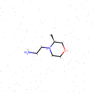 C[C@H]1COCCN1CCN